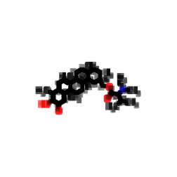 CC1=C(O)C(=O)C=C2C1=CC=C1[C@@]2(C)CC[C@@]2(C)[C@@H]3C[C@](C)(COC(=O)C(C(C)C)N(C)C)CC[C@]3(C)CC[C@]12C